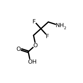 NCC(F)(F)COC(=O)O